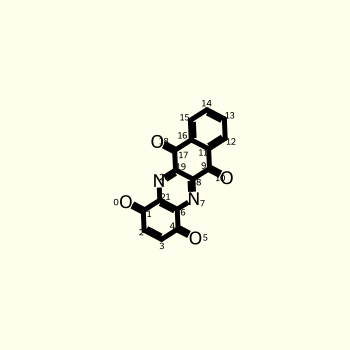 O=c1ccc(=O)c2nc3c(=O)c4ccccc4c(=O)c3nc12